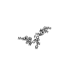 COC(=O)N[C@H](C(=O)N1CCC[C@H]1c1ncc(-c2cc(F)c3c(c2)OC(c2cnc(-c4ccncc4)s2)n2c-3cc3cc(-c4cnc([C@@H]5CCCN5C(=O)[C@@H](NC(=O)OC)C(C)C)[nH]4)ccc32)[nH]1)C(C)C